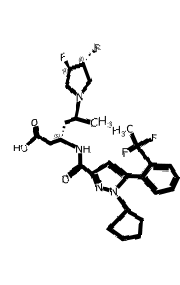 CC(C[C@@H](CC(=O)O)NC(=O)c1cc(-c2ccccc2C(C)(F)F)n(C2CCCC2)n1)N1C[C@@H](F)[C@H](F)C1